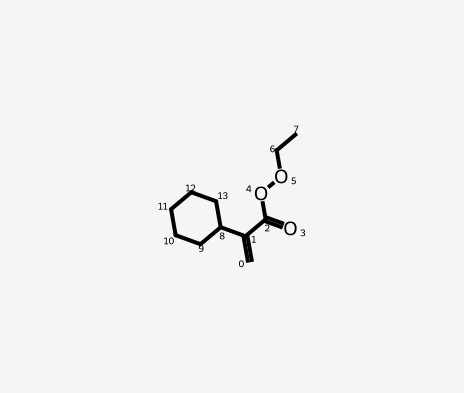 C=C(C(=O)OOCC)C1CCCCC1